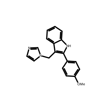 COc1ccc(-c2[nH]c3ccccc3c2Cn2ccnc2)cc1